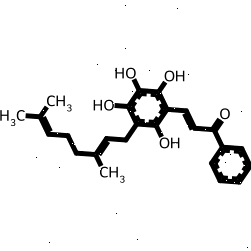 CC(C)=CCC/C(C)=C/Cc1c(O)c(O)c(O)c(C=CC(=O)c2ccccc2)c1O